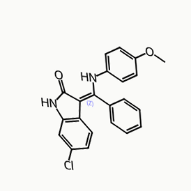 COc1ccc(N/C(=C2\C(=O)Nc3cc(Cl)ccc32)c2ccccc2)cc1